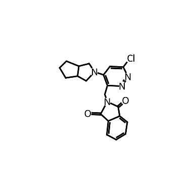 O=C1c2ccccc2C(=O)N1Cc1nnc(Cl)cc1N1CC2CCCC2C1